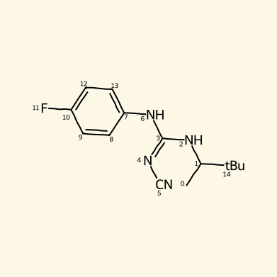 CC(NC(=NC#N)Nc1ccc(F)cc1)C(C)(C)C